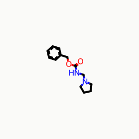 O=C(NCN1CCCC1)OCc1ccccc1